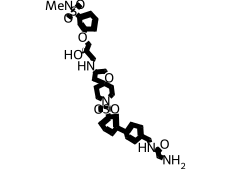 CNS(=O)(=O)c1cccc(OC[C@@H](O)CNC2COC3(CCN(S(=O)(=O)c4cccc(-c5ccc(CNC(=O)CN)cc5)c4)CC3)C2)c1